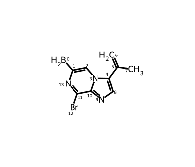 Bc1cn2c(C(=C)C)cnc2c(Br)n1